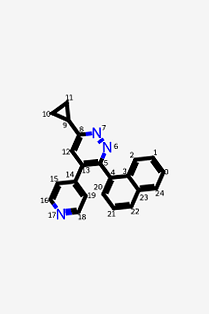 c1ccc2c(-c3nnc(C4CC4)cc3-c3ccncc3)cccc2c1